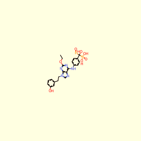 CCOc1nc(Nc2ccc(C(O)(P=O)P(=O)(O)O)cc2)c2ncn(CCc3cccc(O)c3)c2n1